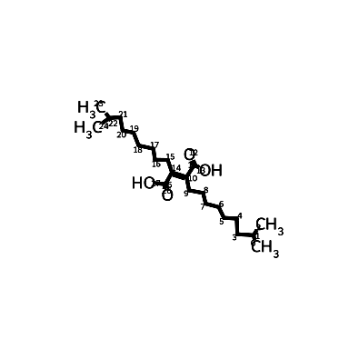 CC(C)CCCCCCC/C(C(=O)O)=C(/CCCCCCCC(C)C)C(=O)O